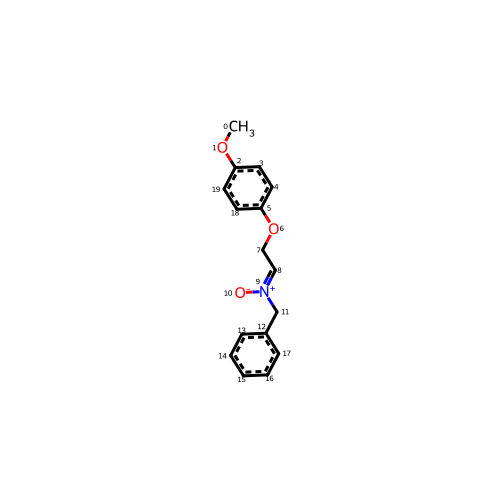 COc1ccc(OCC=[N+]([O-])Cc2ccccc2)cc1